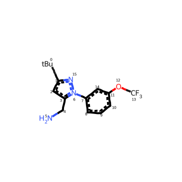 CC(C)(C)c1cc(CN)n(-c2cccc(OC(F)(F)F)c2)n1